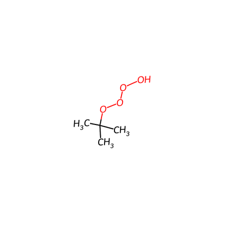 CC(C)(C)OOOO